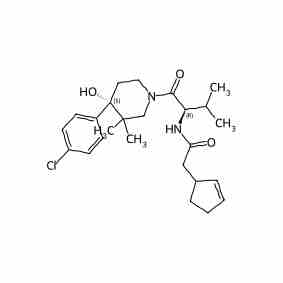 CC(C)[C@@H](NC(=O)CC1C=CCC1)C(=O)N1CC[C@](O)(c2ccc(Cl)cc2)C(C)(C)C1